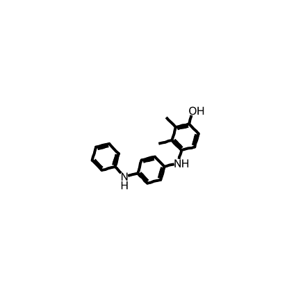 Cc1c(O)ccc(Nc2ccc(Nc3ccccc3)cc2)c1C